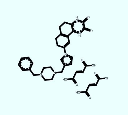 O=C(O)/C=C/C(=O)O.O=C(O)/C=C/C(=O)O.O=c1[nH]c2c([nH]c1=O)C1=C(CCC(n3ccc(CN4CCN(Cc5ccccc5)CC4)c3)=C1)CC2